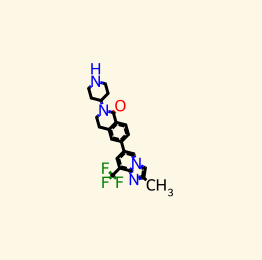 Cc1cn2cc(-c3ccc4c(c3)CCN(C3CCNCC3)C4=O)cc(C(F)(F)F)c2n1